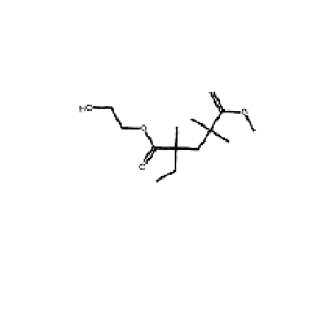 C=C(OC)C(C)(C)CC(C)(CC)C(=O)OCCO